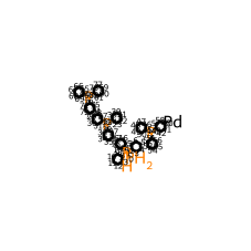 P[PH](c1ccccc1)(c1ccccc1)c1ccccc1.[Pd].c1ccc(P(c2ccccc2)c2ccccc2)cc1.c1ccc(P(c2ccccc2)c2ccccc2)cc1.c1ccc(P(c2ccccc2)c2ccccc2)cc1